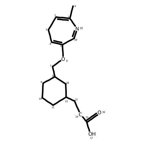 CC1=CCC=C(OCC2CCCC(CCC(=O)O)C2)C=N1